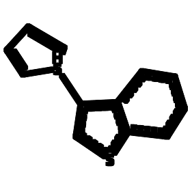 C1=C[SH](c2csc3ccccc23)C=C1